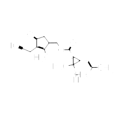 C#CCC1=C(C)C(COC(=O)[C@H]2[C@H](C=C(C)C)C2(C)C)CC1=O